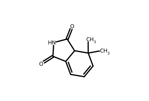 CC1(C)C=CC=C2C(=O)NC(=O)C21